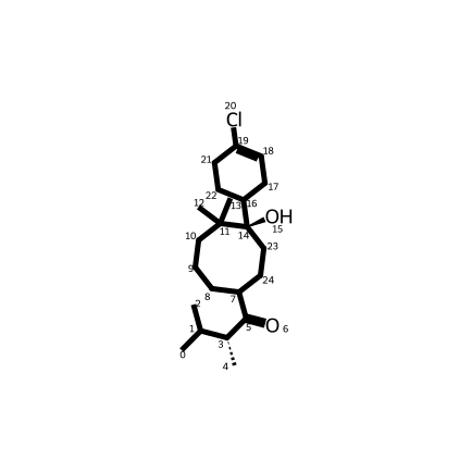 CC(C)[C@@H](C)C(=O)C1CCCC(C)(C)[C@](O)(C2CC=C(Cl)CC2)CC1